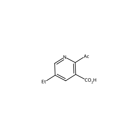 CCc1cnc(C(C)=O)c(C(=O)O)c1